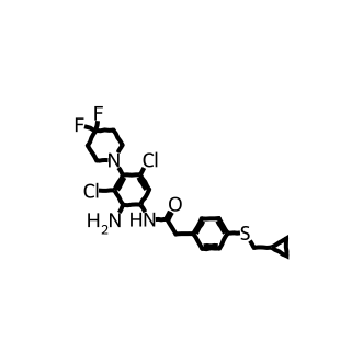 NC1C(Cl)=C(N2CCC(F)(F)CC2)C(Cl)=CC1NC(=O)Cc1ccc(SCC2CC2)cc1